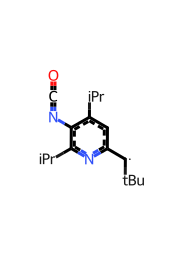 CC(C)c1cc([CH]C(C)(C)C)nc(C(C)C)c1N=C=O